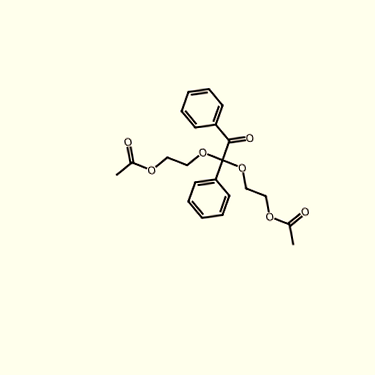 CC(=O)OCCOC(OCCOC(C)=O)(C(=O)c1ccccc1)c1ccccc1